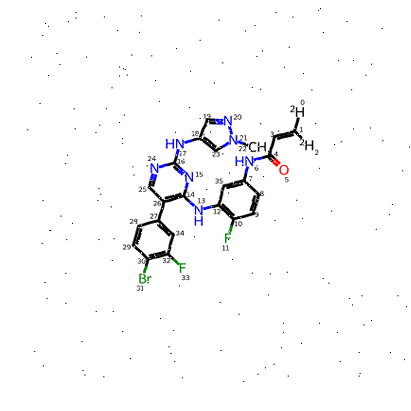 [2H]C([2H])=CC(=O)Nc1ccc(F)c(Nc2nc(Nc3cnn(C)c3)ncc2-c2ccc(Br)c(F)c2)c1